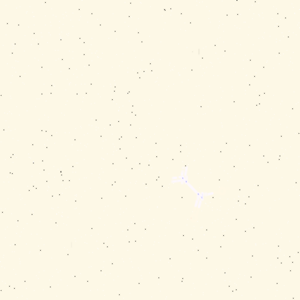 CCCCCc1cc(CCCCC)n([N+](=O)[O-])c1